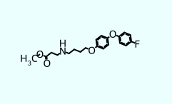 COC(=O)CCNCCCCOc1ccc(Oc2ccc(F)cc2)cc1